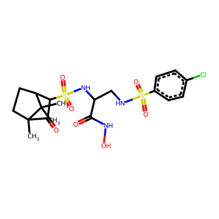 CC12CCC(C(S(=O)(=O)NC(CNS(=O)(=O)c3ccc(Cl)cc3)C(=O)NO)C1=O)C2(C)C